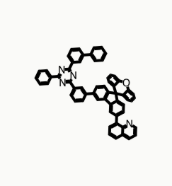 c1ccc(-c2cccc(-c3nc(-c4ccccc4)nc(-c4cccc(-c5ccc6c(c5)-c5cc(-c7cccc8cccnc78)ccc5C65c6ccccc6Oc6ccccc65)c4)n3)c2)cc1